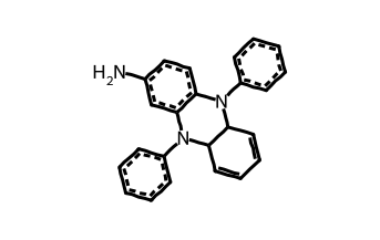 Nc1ccc2c(c1)N(c1ccccc1)C1C=CC=CC1N2c1ccccc1